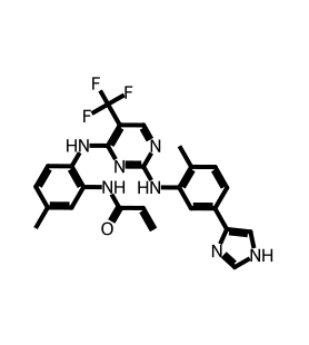 C=CC(=O)Nc1cc(C)ccc1Nc1nc(Nc2cc(-c3c[nH]cn3)ccc2C)ncc1C(F)(F)F